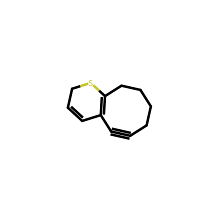 C1#CC2=C(CCCC1)SCC=C2